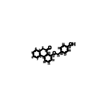 O=C1Cc2ccccc2-c2cccc(OCc3ccc(O)cc3)c21